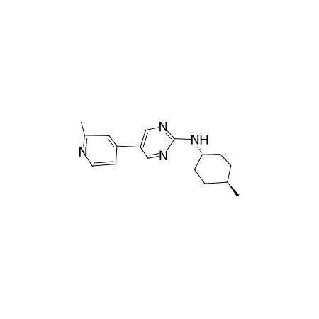 Cc1cc(-c2cnc(N[C@H]3CC[C@H](C)CC3)nc2)ccn1